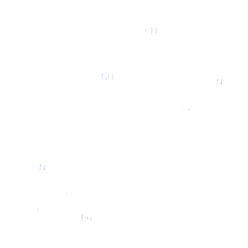 CC(CCC(N)=O)CNCc1ccc2c(ccn2C(=O)OC(C)(C)C)c1